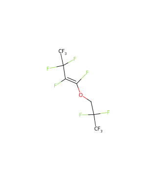 FC(OCC(F)(F)C(F)(F)F)=C(F)C(F)(F)C(F)(F)F